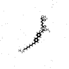 CCCCCCCCCc1ccc(-c2ccc(OCC(C)OC(=O)CCCC(=O)CC)cc2)cc1